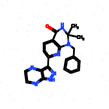 CC1(C)NC(=O)c2ccc(-c3n[nH]c4nccnc34)nc2N1Cc1ccccc1